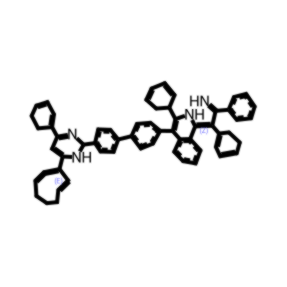 N=C(/C(C1=CC=CCC1)=C1\NC(C2C=CC=CC2)=C(c2ccc(-c3ccc(C4N=C(C5=CC=CCC5)C=C(C5=C=CCCC/C=C/5)N4)cc3)cc2)c2ccccc21)c1ccccc1